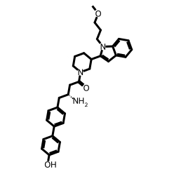 COCCCn1c(C2CCCN(C(=O)C[C@H](N)Cc3ccc(-c4ccc(O)cc4)cc3)C2)cc2ccccc21